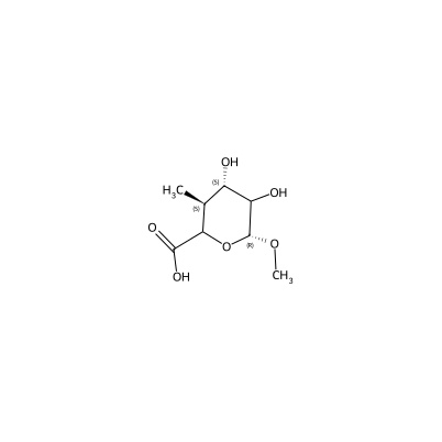 CO[C@@H]1OC(C(=O)O)[C@@H](C)[C@H](O)C1O